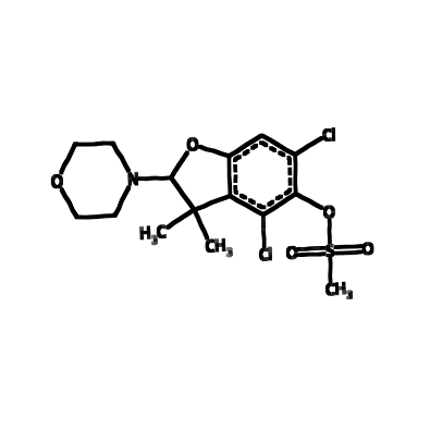 CC1(C)c2c(cc(Cl)c(OS(C)(=O)=O)c2Cl)OC1N1CCOCC1